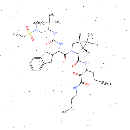 C#CCCC(NC(=O)[C@@H]1[C@@H]2[C@H](CN1C(=O)[C@@H](NC(=O)N[C@H](CN(C)S(=O)(=O)CC)C(C)(C)C)C1Cc3ccccc3C1)C2(C)C)C(=O)C(=O)NCCCC